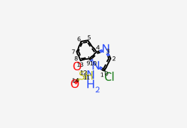 Clc1cnc2ccccc2n1.N[SH](=O)=O